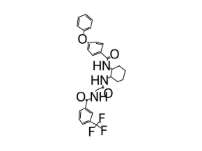 O=C(CNC(=O)c1cccc(C(F)(F)F)c1)NC1CCCCC1NC(=O)c1ccc(Oc2ccccc2)cc1